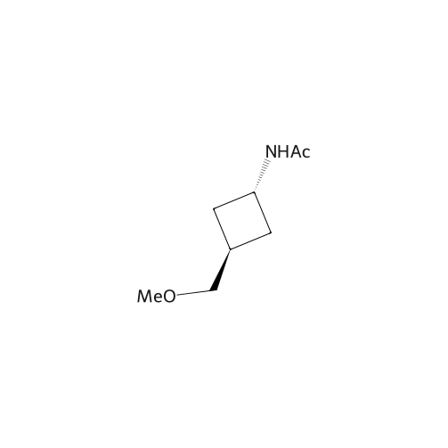 COC[C@H]1C[C@H](NC(C)=O)C1